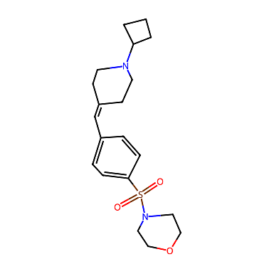 O=S(=O)(c1ccc(C=C2CCN(C3CCC3)CC2)cc1)N1CCOCC1